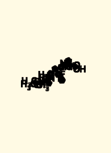 CC(C)(C)OC(=O)NCC(=O)N1CCC[C@H]1c1nc2cc([C@@H]3CC[C@@H](c4ccc5[nH]c([C@@H]6CCCN6C(=O)CNC(=O)O)nc5c4)N3c3ccc(N4CCCCC4)c(F)c3)ccc2[nH]1